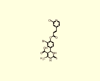 CC1=C(C(=O)O)C(c2ccc(OC(=O)C=Cc3ccnc(Cl)c3)c(Br)c2)NC(=S)N1